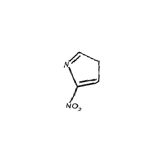 O=[N+]([O-])C1=CCC=N1